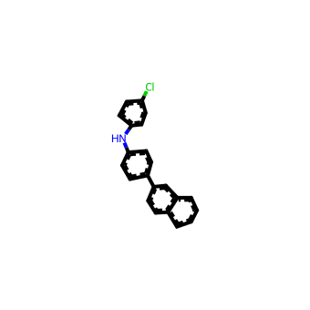 Clc1ccc(Nc2ccc(-c3ccc4ccccc4c3)cc2)cc1